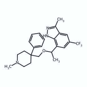 Cc1n[nH]c2c(C(C)OCC3(c4ccccc4)CCN(C)CC3)cc(C(F)(F)F)cc12